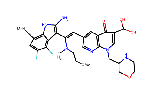 CNc1cc(F)c(F)c2c(/C(=C/c3cnc4c(c3)c(=O)c(C(O)O)cn4CC3COCCN3)N(C)CCOC)c(N)[nH]c12